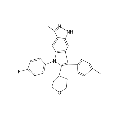 Cc1ccc(-c2c(C3CCOCC3)n(-c3ccc(F)cc3)c3cc4c(C)n[nH]c4cc23)cc1